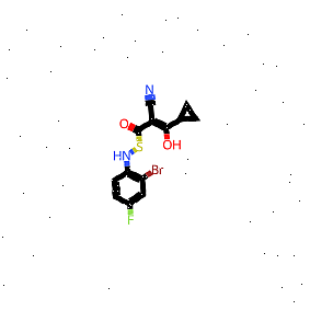 N#CC(C(=O)SNc1ccc(F)cc1Br)=C(O)C1CC1